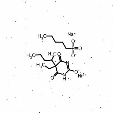 CCCC(C)C1(CC)C(=O)N=C([O-])NC1=O.CCCCCP(=O)([O-])[O-].[Na+].[Ni+2]